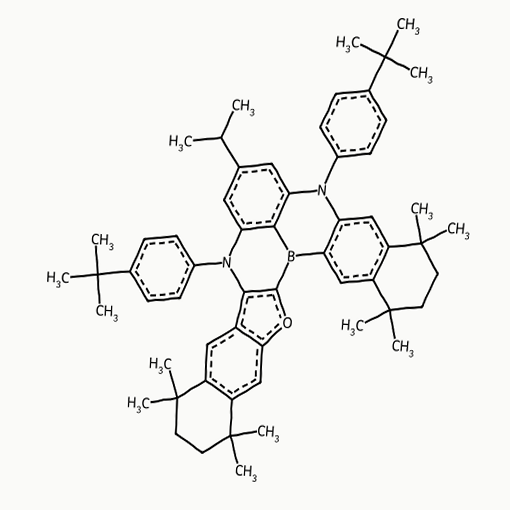 CC(C)c1cc2c3c(c1)N(c1ccc(C(C)(C)C)cc1)c1c(oc4cc5c(cc14)C(C)(C)CCC5(C)C)B3c1cc3c(cc1N2c1ccc(C(C)(C)C)cc1)C(C)(C)CCC3(C)C